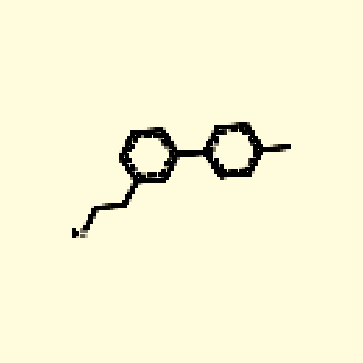 Cc1ccc(-c2cccc(CCC#N)c2)cc1